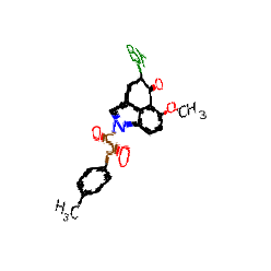 COc1ccc2c3c(cn2S(=O)(=O)c2ccc(C)cc2)CC(Br)C(=O)c13